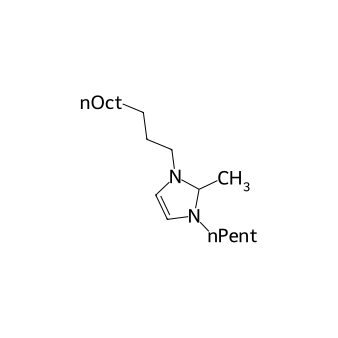 CCCCCCCCCCCN1C=CN(CCCCC)C1C